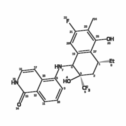 CC[C@@H]1C[C@](O)(C(F)(F)F)C(Nc2cccc3c(=O)[nH]ccc23)c2cc(F)c(C)c(O)c21